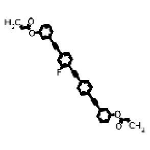 C=CC(=O)Oc1cccc(C#Cc2ccc(C#Cc3ccc(C#Cc4cccc(OC(=O)C=C)c4)cc3F)cc2)c1